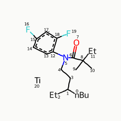 CCCCC(CC)CCN(C(=O)C(C)(C)CC)c1ccc(F)[c]c1F.[Ti]